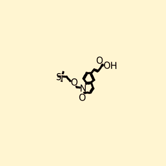 C[Si](C)(C)CCOCn1c(=O)ccc2cc(C=CC(=O)O)ccc21